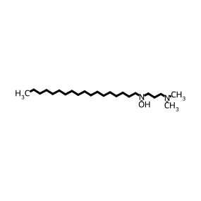 CCCCCCCCCCCCCCCCCCN(O)CCCN(C)C